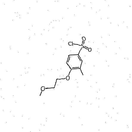 COCCOc1ccc(S(=O)(=O)Cl)cc1C